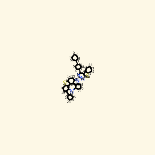 c1ccc(-c2ccc(-c3nc(-n4c5ccc6sc7ccc8c9ccccc9n9c%10cccc4c%10c5c6c7c89)nc4sc5ccccc5c34)cc2)cc1